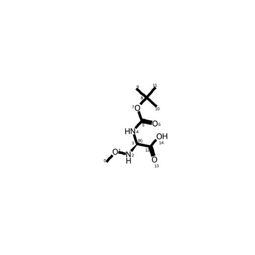 CON[C@@H](NC(=O)OC(C)(C)C)C(=O)O